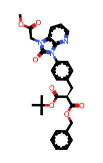 COC(=O)Cn1c(=O)n(-c2ccc(C[C@@H](C(=O)OCc3ccccc3)C(=O)OC(C)(C)C)cc2)c2ncccc21